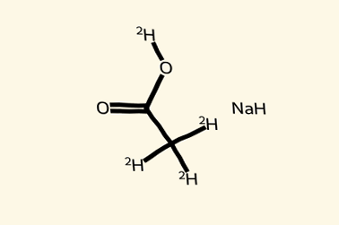 [2H]OC(=O)C([2H])([2H])[2H].[NaH]